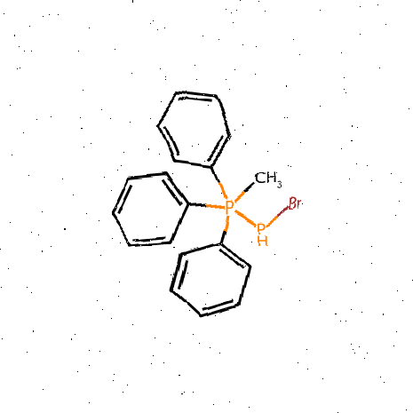 CP(PBr)(c1ccccc1)(c1ccccc1)c1ccccc1